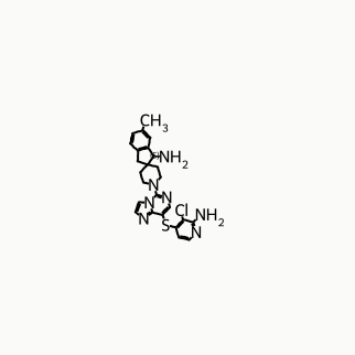 Cc1ccc2c(c1)[C@@H](N)C1(CCN(c3ncc(Sc4ccnc(N)c4Cl)c4nccn34)CC1)C2